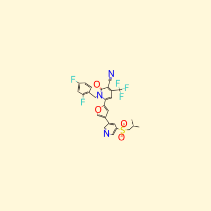 CC(C)CS(=O)(=O)c1cncc(-c2coc(-c3cc(C(F)(F)F)c(C#N)c(=O)n3Cc3ccc(F)cc3F)c2)c1